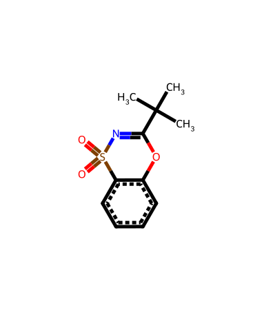 CC(C)(C)C1=NS(=O)(=O)c2ccccc2O1